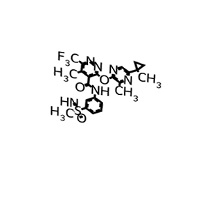 Cc1nc(C2(C)CC2)cnc1Oc1nnc(C(F)(F)F)c(C)c1C(=O)Nc1cccc(S(C)(=N)=O)c1